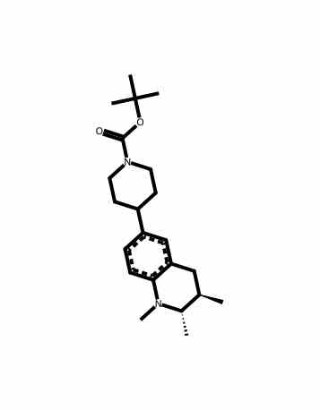 C[C@@H]1Cc2cc(C3CCN(C(=O)OC(C)(C)C)CC3)ccc2N(C)[C@H]1C